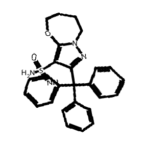 N=S(N)(=O)c1c(C(c2ccccc2)(c2ccccc2)c2ccccc2)nn2c1OCCCC2